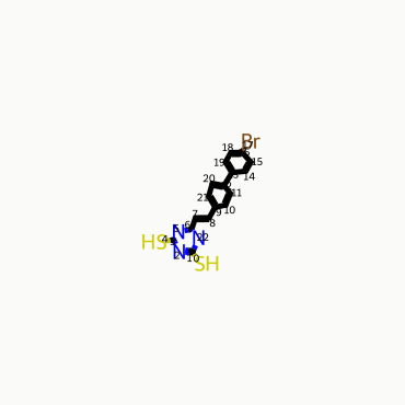 Sc1nc(S)nc(/C=C/c2ccc(-c3ccc(Br)cc3)cc2)n1